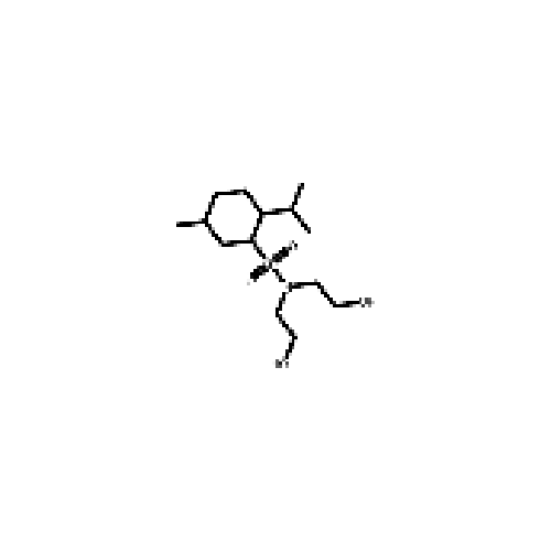 CC1CCC(C(C)C)C(S(=O)(=O)N(CCO)CCO)C1